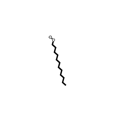 CCCCCCCCCCCCO[O]